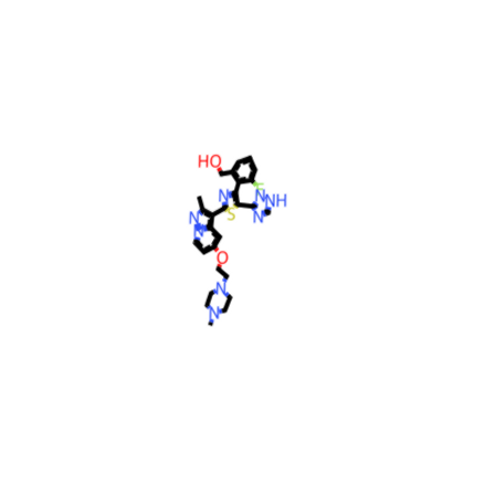 Cc1nn2ccc(OCCN3CCN(C)CC3)cc2c1-c1nc(-c2c(F)cccc2CO)c(-c2nc[nH]n2)s1